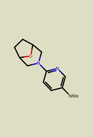 CNc1ccc(N2CC3CCC(C2)O3)nc1